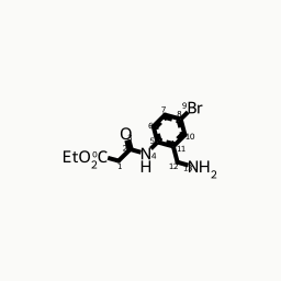 CCOC(=O)CC(=O)Nc1ccc(Br)cc1CN